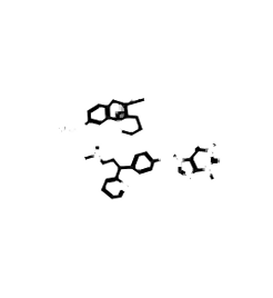 CN(C)CCC(c1ccc(Cl)cc1)c1ccccn1.COc1ccc2c(c1)[C@]13CCCC[C@@H]1[C@H](C2)N(C)CC3.Cn1c(=O)c2c(ncn2C)n(C)c1=O